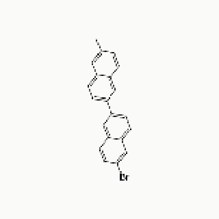 Cc1ccc2cc(-c3ccc4cc(Br)ccc4c3)ccc2c1